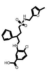 Cc1ccc(CNS(=O)(=O)CCC(CNc2cc(C(=O)O)ccc2Cl)c2ccccc2)o1